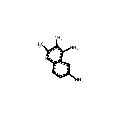 Cc1nc2ccc(N)cc2c(N)c1C